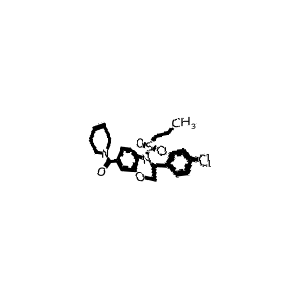 CCCS(=O)(=O)N1c2ccc(C(=O)N3CCCCC3)cc2OCC1c1ccc(Cl)cc1